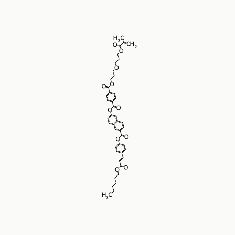 C=C(C)C(=O)OCCCOCCCOC(=O)c1ccc(C(=O)Oc2ccc3cc(C(=O)Oc4ccc(/C=C/C(=O)OCCCCCC)cc4)ccc3c2)cc1